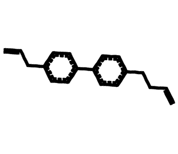 C=CCCc1ccc(-c2ccc(CC=C)cc2)cc1